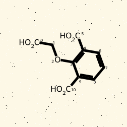 O=C(O)COc1c(C(=O)O)cccc1C(=O)O